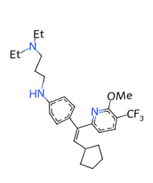 CCN(CC)CCCNc1ccc(C(=CC2CCCC2)c2ccc(C(F)(F)F)c(OC)n2)cc1